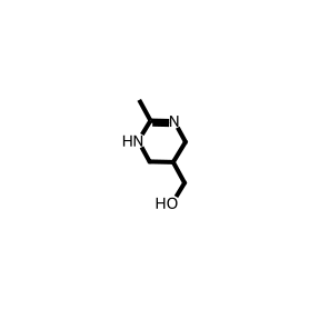 CC1=NCC(CO)CN1